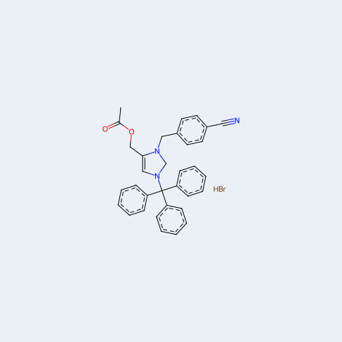 Br.CC(=O)OCC1=CN(C(c2ccccc2)(c2ccccc2)c2ccccc2)CN1Cc1ccc(C#N)cc1